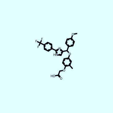 COc1ccc(C(Oc2ccc(OCC(=O)O)c(C)c2)c2c[nH]c(-c3ccc(C(F)(F)F)cc3)n2)cc1